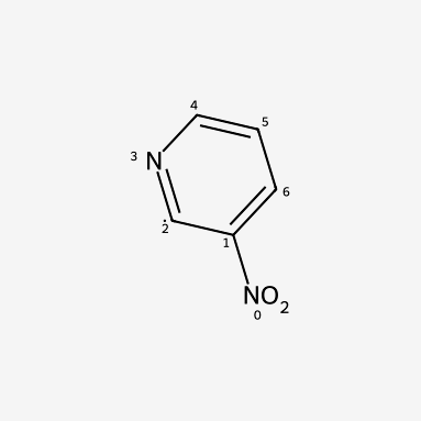 O=[N+]([O-])c1[c]nccc1